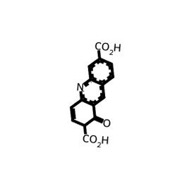 O=C(O)c1ccc2cc3c(nc2c1)C=CC(C(=O)O)C3=O